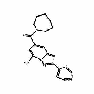 Nc1cc(C(=O)N2CCCCCC2)cc2nc(-c3ccccn3)nn12